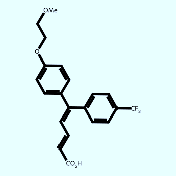 COCCOc1ccc(C(=CC=CC(=O)O)c2ccc(C(F)(F)F)cc2)cc1